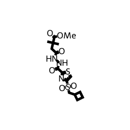 COC(=O)C(C)(C)CC(=O)NNC(=O)c1nc(S(=O)(=O)CC2CCC2)cs1